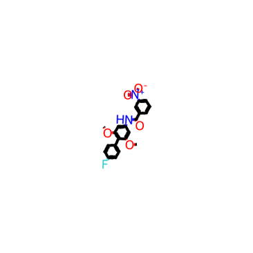 COc1cc(NC(=O)c2cccc([N+](=O)[O-])c2)cc(OC)c1-c1ccc(F)cc1